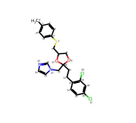 Cc1ccc(SCC2COC(CCc3ccc(Cl)cc3Cl)(Cn3ccnc3)O2)cc1